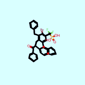 O=C(c1ccccc1)C(Cc1c(Cc2ccccc2)cc(C(F)(F)P(=O)(O)O)c(Br)c1Cc1ccccc1)c1ccccc1